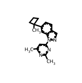 Cc1cc(-n2ncc3ccc(C4(C)CCC4)cc32)nc(C)n1